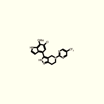 COc1c(Cl)cc(-c2[nH]nc3c2CN(c2ncc(C(F)(F)F)cn2)CC3)c2cc[nH]c12